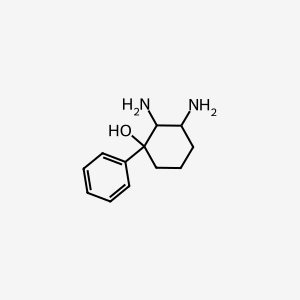 NC1CCCC(O)(c2ccccc2)C1N